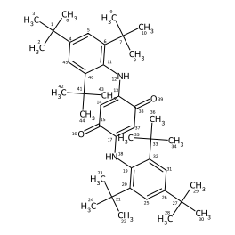 CC(C)(C)c1cc(C(C)(C)C)c(NC2=CC(=O)C(Nc3c(C(C)(C)C)cc(C(C)(C)C)cc3C(C)(C)C)=CC2=O)c(C(C)(C)C)c1